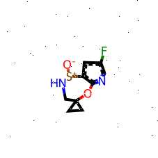 [O-][S+]1NCC2(CC2)Oc2ncc(F)cc21